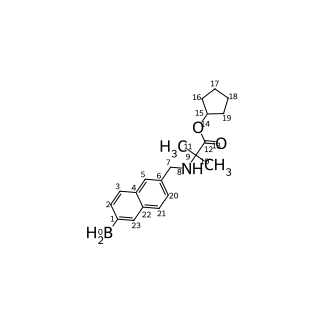 Bc1ccc2cc(CNC(C)(C)C(=O)OC3CCCC3)ccc2c1